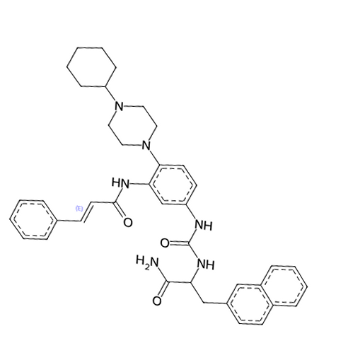 NC(=O)C(Cc1ccc2ccccc2c1)NC(=O)Nc1ccc(N2CCN(C3CCCCC3)CC2)c(NC(=O)/C=C/c2ccccc2)c1